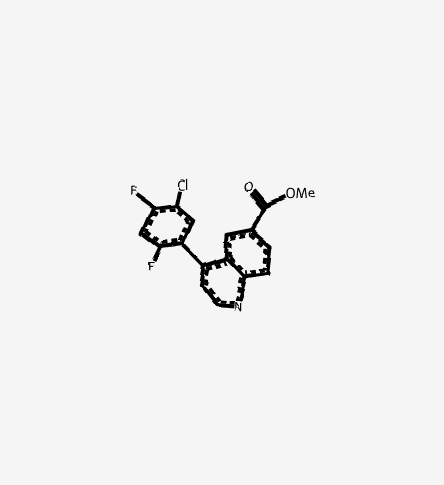 COC(=O)c1ccc2nccc(-c3cc(Cl)c(F)cc3F)c2c1